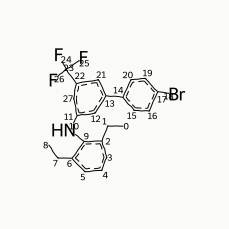 CCc1cccc(CC)c1Nc1cc(-c2ccc(Br)cc2)cc(C(F)(F)F)c1